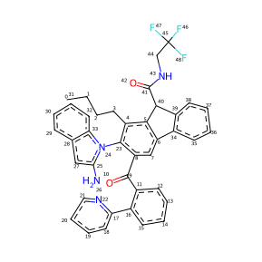 CCCCc1c2c(cc(C(=O)c3ccccc3-c3ccccn3)c1-n1c(N)cc3ccccc31)-c1ccccc1C2C(=O)NCC(F)(F)F